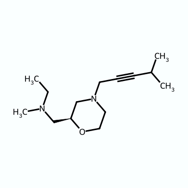 CCN(C)C[C@H]1CN(CC#CC(C)C)CCO1